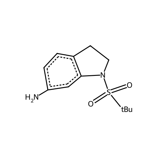 CC(C)(C)S(=O)(=O)N1CCc2ccc(N)cc21